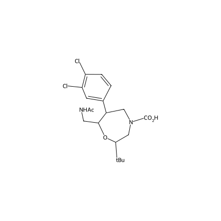 CC(=O)NCC1OC(C(C)(C)C)CN(C(=O)O)CC1c1ccc(Cl)c(Cl)c1